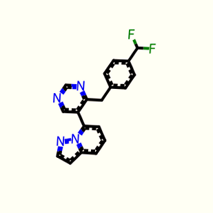 FC(F)c1ccc(Cc2ncncc2-c2cccc3ccnn23)cc1